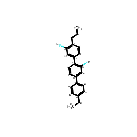 CCCc1ccc(-c2ccc(-c3ccc(CC)cc3)cc2F)cc1F